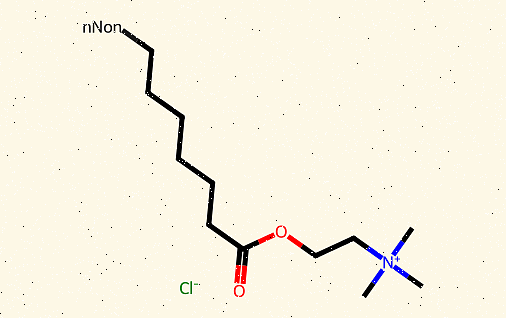 CCCCCCCCCCCCCCCC(=O)OCC[N+](C)(C)C.[Cl-]